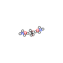 c1ccc2c(c1)-c1cc3oc4c(-n5c6ccccc6c6ccccc65)cccc4c3cc1-c1ccccc1[Si]21c2ccccc2-c2cc3oc4c(-n5c6ccccc6c6ccccc65)cccc4c3cc2-c2ccccc21